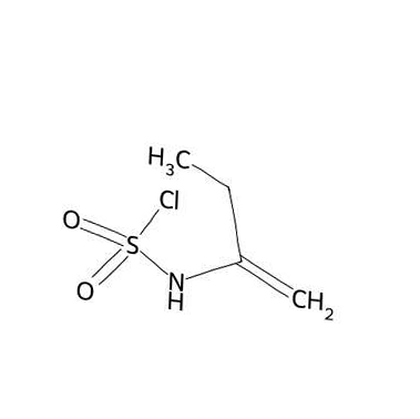 C=C(CC)NS(=O)(=O)Cl